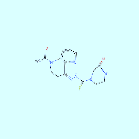 CC(=O)N1CC/C(=N/NC(=S)N2CCNC(=O)C2)c2ncccc21